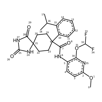 COc1ccc(NC(=O)C2(c3ccccc3C(C)C)CCC3(CC2)NC(=O)NC3=O)c(OC(F)F)n1